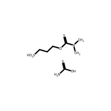 CN(C)C(=S)OCCCS(=O)(=O)O.NC(O)=S